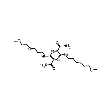 COCCOCCCNc1nc(C(N)=O)c(NCCCOCCOC)nc1C(N)=O